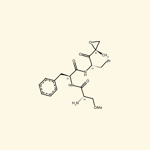 COC[C@H](N)C(=O)N[C@@H](Cc1ccccc1)C(=O)N[C@@H](CC(C)C)C(=O)[C@@]1(C)CO1